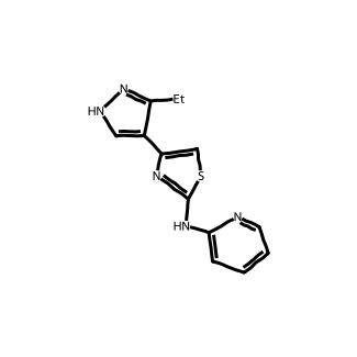 CCc1n[nH]cc1-c1csc(Nc2ccccn2)n1